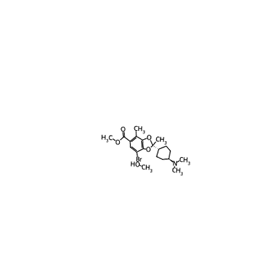 CO.COC(=O)c1cc(Br)c2c(c1C)OC(C)([C@H]1CC[C@H](N(C)C)CC1)O2